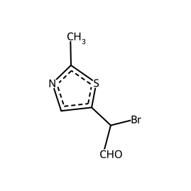 Cc1ncc(C(Br)C=O)s1